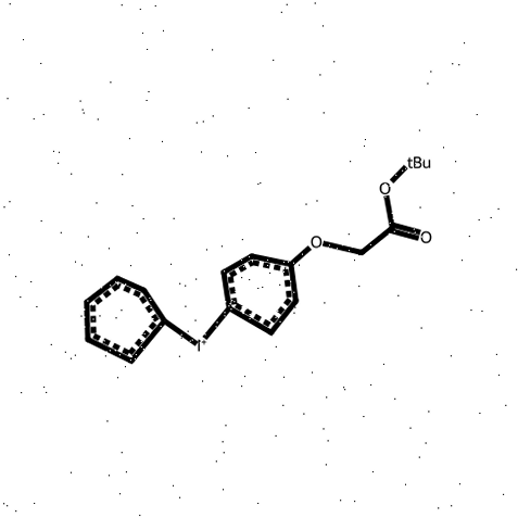 CC(C)(C)OC(=O)COc1ccc([I+]c2ccccc2)cc1